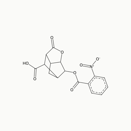 O=C(OC1C2CC3C1OC(=O)C3C2C(=O)O)c1ccccc1[N+](=O)[O-]